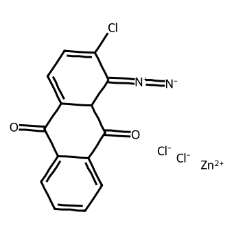 [Cl-].[Cl-].[N-]=[N+]=C1C(Cl)=CC=C2C(=O)c3ccccc3C(=O)C21.[Zn+2]